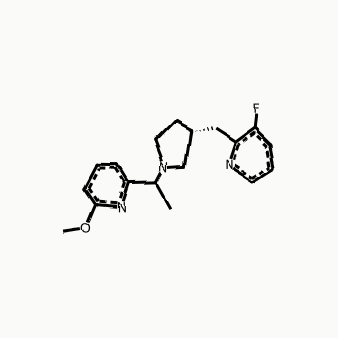 COc1cccc(C(C)N2CC[C@H](Cc3ncccc3F)C2)n1